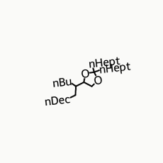 [CH2]CCCC(CCCCCCCCCCC)C1COC(CCCCCCC)(CCCCCCC)O1